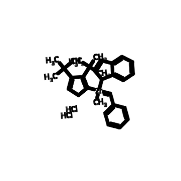 CC(C)(C)C1=CC[C]([Zr]([CH3])(=[CH]c2ccccc2)[CH]2C=Cc3ccccc32)=C1C(C)(C)C.Cl.Cl